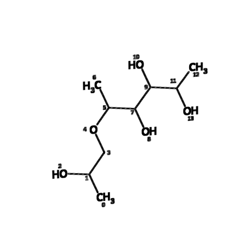 CC(O)COC(C)C(O)C(O)C(C)O